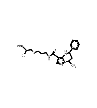 CCCCC(CC)COCCCNC(=O)c1cnn2c1NC(c1ccccc1)CC2C(F)(F)F